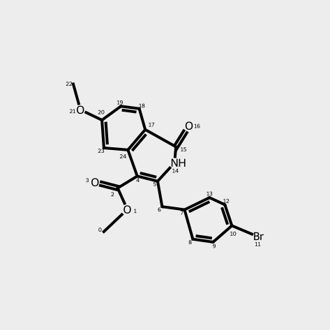 COC(=O)c1c(Cc2ccc(Br)cc2)[nH]c(=O)c2ccc(OC)cc12